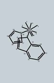 [CH2]=[Zr]([CH3])([CH3])([CH3])([CH3])([CH3])([CH]1C=Cc2ccccc21)[n]1cccc1